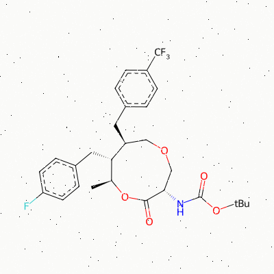 C[C@@H]1OC(=O)[C@@H](NC(=O)OC(C)(C)C)COC[C@H](Cc2ccc(C(F)(F)F)cc2)[C@H]1Cc1ccc(F)cc1